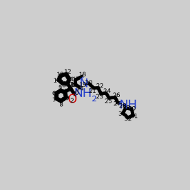 NC(=O)C(c1ccccc1)(c1ccccc1)[C@@H]1CCN(CCCCCCCCNC2CCCC2)C1